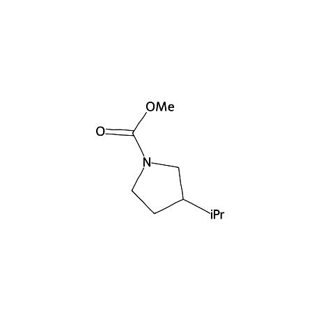 COC(=O)N1CCC(C(C)C)C1